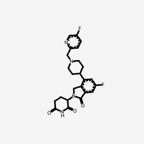 O=C1CCC(N2Cc3c(cc(F)cc3C3CCN(Cc4ccc(F)cn4)CC3)C2=O)C(=O)N1